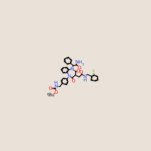 CC(C)(C)OC(=O)NCc1ccc(N2C(=O)C(CC(=O)NCc3ccccc3F)C(=O)N(C(C(N)=O)c3ccccc3)c3ccccc32)cc1